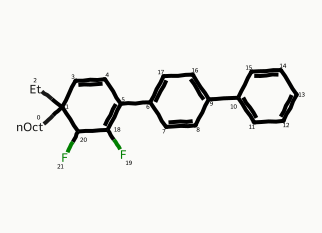 CCCCCCCCC1(CC)C=CC(c2ccc(-c3ccccc3)cc2)=C(F)C1F